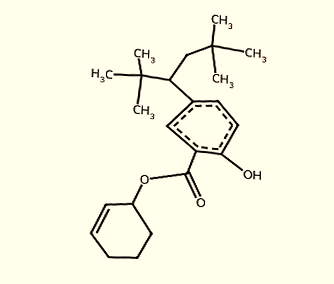 CC(C)(C)CC(c1ccc(O)c(C(=O)OC2C=CCCC2)c1)C(C)(C)C